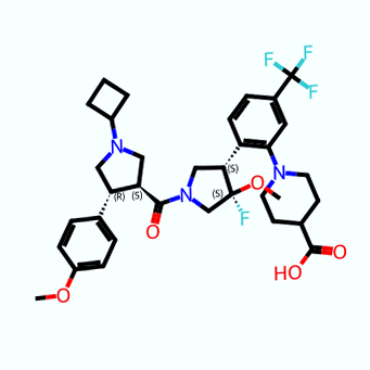 COc1ccc([C@@H]2CN(C3CCC3)C[C@H]2C(=O)N2C[C@H](c3ccc(C(F)(F)F)cc3N3CCC(C(=O)O)CC3)[C@@](F)(OC)C2)cc1